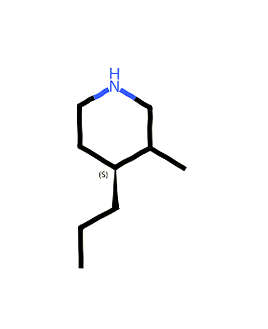 CCC[C@H]1CCNCC1C